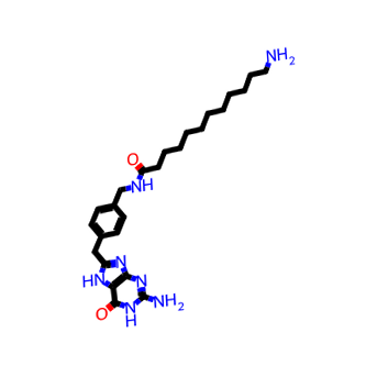 NCCCCCCCCCCCC(=O)NCc1ccc(Cc2nc3nc(N)[nH]c(=O)c3[nH]2)cc1